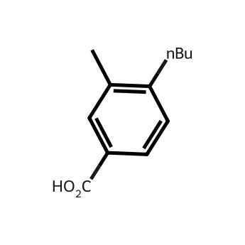 CCCCc1ccc(C(=O)O)cc1C